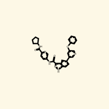 O=C(NC1CCCC1)c1ccc(NC(=O)c2n[nH]c3ccc(-c4cncc(Oc5ccccc5)c4)cc23)cn1